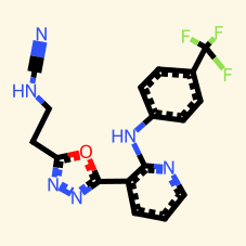 N#CNCCc1nnc(-c2cccnc2Nc2ccc(C(F)(F)F)cc2)o1